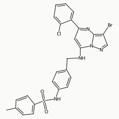 Cc1ccc(S(=O)(=O)Nc2ccc(CNc3cc(-c4ccccc4Cl)nc4c(Br)cnn34)cc2)cc1